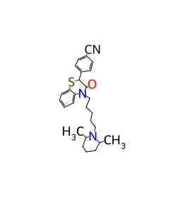 CC1CCCC(C)N1CCCCCN1C(=O)C(c2ccc(C#N)cc2)Sc2ccccc21